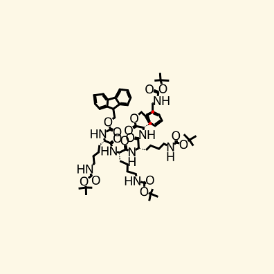 CC(C)(C)OC(=O)NCCCC[C@H](NC(=O)OCC1c2ccccc2-c2ccccc21)C(=O)N[C@@H](CCCCNC(=O)OC(C)(C)C)C(=O)N[C@@H](CCCCNC(=O)OC(C)(C)C)C(=O)N[C@@H](CCCCNC(=O)OC(C)(C)C)C(=O)OCc1ccccc1